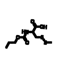 CCCOC(=O)NC(CSSC)C(=O)O